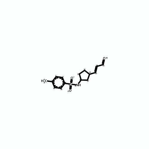 Cc1ccc(S(=O)(=O)NC2CCC(/C=C/C=O)C2)cc1